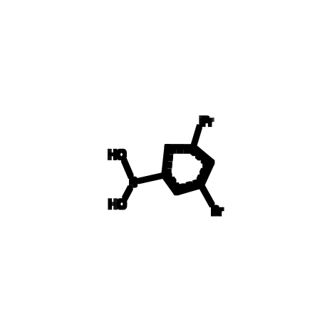 CC(C)c1cc(Br)cc(B(O)O)c1